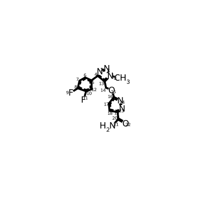 Cn1nnc(-c2ccc(F)c(F)c2)c1COc1ccc(C(N)=O)nn1